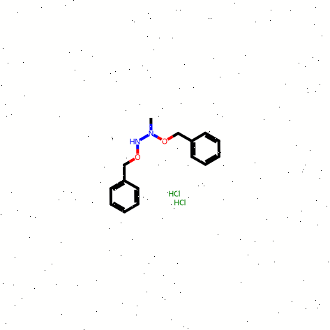 CN(NOCc1ccccc1)OCc1ccccc1.Cl.Cl